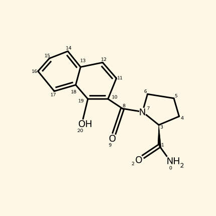 NC(=O)[C@@H]1CCCN1C(=O)c1ccc2ccccc2c1O